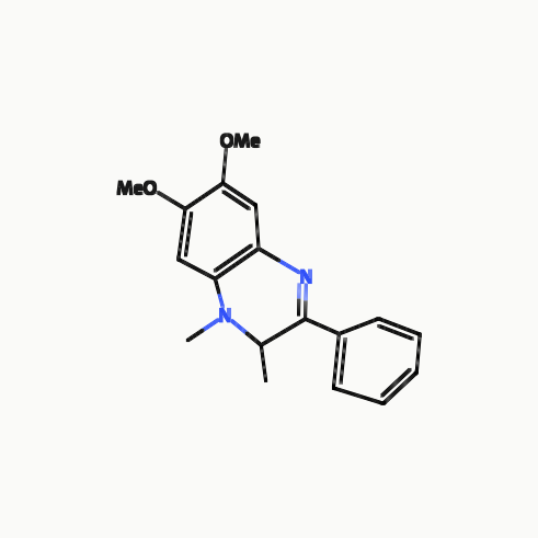 COc1cc2c(cc1OC)N(C)C(C)C(c1ccccc1)=N2